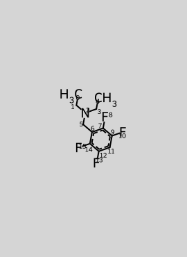 CCN(CC)Cc1c(F)c(F)cc(F)c1F